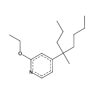 CCCCC(C)(CCC)c1ccnc(OCC)c1